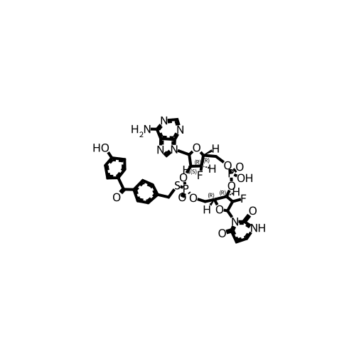 Nc1ncnc2c1ncn2C1O[C@@H]2COP(=O)(O)O[C@H]3C(F)C(n4c(=O)cc[nH]c4=O)O[C@@H]3COP(=O)(SCc3ccc(C(=O)c4ccc(O)cc4)cc3)O[C@@H]1[C@@H]2F